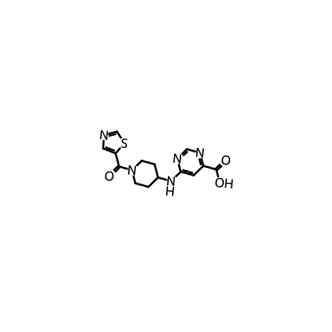 O=C(O)c1cc(NC2CCN(C(=O)c3cncs3)CC2)ncn1